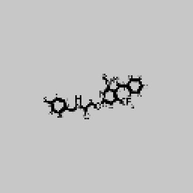 Cc1ccc(CNC(=O)COc2cc(C(F)(F)F)c3c(-c4ccccc4)nn(C)c3n2)cc1